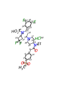 CCN(C(=O)Cc1ccc(S(C)(=O)=O)cc1)C1CCN(CC[C@@H](c2cc(F)cc(F)c2)N(C(=O)O)C2CC(F)(F)C2)CC1.Cl